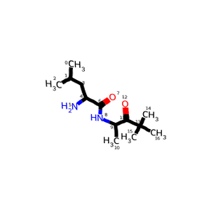 CC(C)CC(N)C(=O)NC(C)C(=O)C(C)(C)C